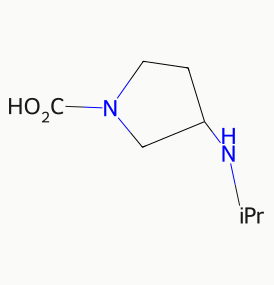 CC(C)NC1CCN(C(=O)O)C1